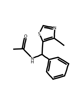 CC(=O)NC(c1ccccc1)c1scnc1C